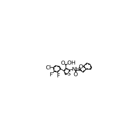 O=C(Nc1scc(-c2ccc(Cl)c(F)c2F)c1C(=O)O)c1cc2ccccc2o1